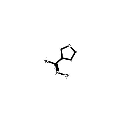 N#C/C(=N/O)C1CCOC1